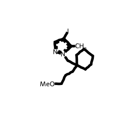 COCCCC1(Cn2ncc(I)c2C)CCCCC1